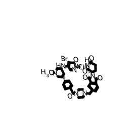 CN1C[C@H](Nc2cnn(C)c(=O)c2Br)C[C@H](c2ccc(C(=O)N3CCN(Cc4ccc5c(c4)C(=O)N(C4CCC(=O)NC4=O)C5=O)CC3)cc2)C1